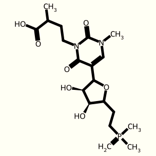 C=P(C)(C)CCC1OC(c2cn(C)c(=O)n(CCC(C)C(=O)O)c2=O)[C@H](O)[C@@H]1O